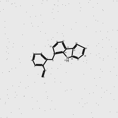 C=Cc1ccccc1Cc1cccc2c1[nH]c1ccccc12